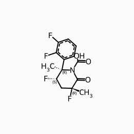 C[C@@]1(F)C[C@H](F)[C@@](C)(c2cccc(F)c2F)N(C(=O)O)C1=O